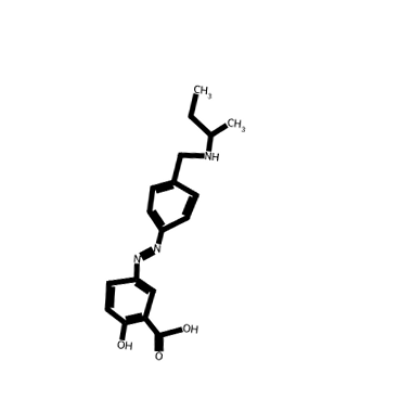 CCC(C)NCc1ccc(N=Nc2ccc(O)c(C(=O)O)c2)cc1